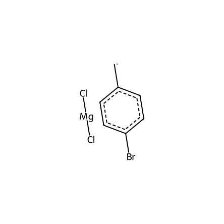 [CH2]c1ccc(Br)cc1.[Cl][Mg][Cl]